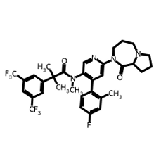 Cc1cc(F)ccc1-c1cc(N2CCCN3CCCC3C2=O)ncc1N(C)C(=O)C(C)(C)c1cc(C(F)(F)F)cc(C(F)(F)F)c1